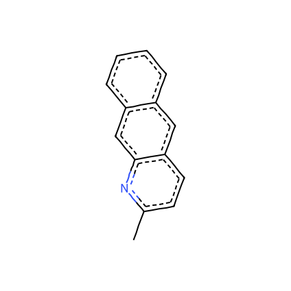 Cc1ccc2cc3ccccc3cc2n1